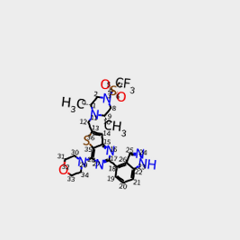 C[C@@H]1CN(S(=O)(=O)C(F)(F)F)C[C@H](C)N1Cc1cc2nc(-c3cccc4[nH]ncc34)nc(N3CCOCC3)c2s1